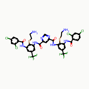 NCCSc1c(NC(=O)c2cc(C(=O)Nc3cc(C(F)(F)F)cc(NC(=O)c4ccc(Cl)cc4Cl)c3SCCN)ncn2)cc(C(F)(F)F)cc1NC(=O)c1ccc(Cl)cc1Cl